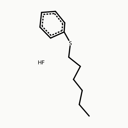 CCCCCCSc1ccccc1.F